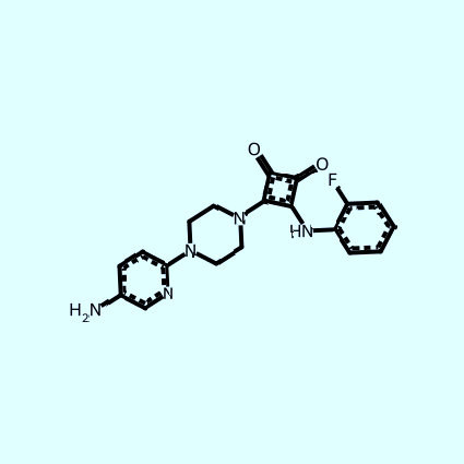 Nc1ccc(N2CCN(c3c(Nc4ccccc4F)c(=O)c3=O)CC2)nc1